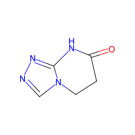 O=C1CCn2cnnc2N1